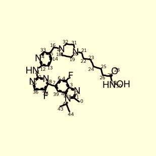 Cc1nc2c(F)cc(-c3nc(Nc4ccc(CN5CCN(CCCCCCC(=O)NO)CC5)cn4)ncc3F)cc2n1C(C)C